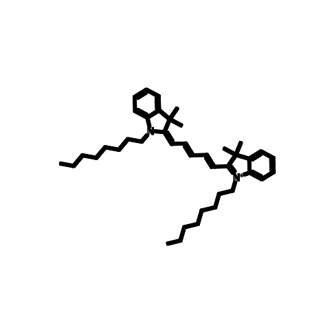 CCCCCCCCN1/C(=C/C=C/C=C/C2=[N+](CCCCCCCC)c3ccccc3C2(C)C)C(C)(C)c2ccccc21